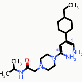 CCC1CCC(C(=C/N)/C=C(\N)N2CCN(CC(=O)NC(C)C)CC2)CC1